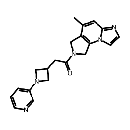 Cc1cc2nccn2c2c1CN(C(=O)CC1CN(c3cccnc3)C1)C2